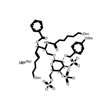 CCCCCCCCCCCCC/C=C/[C@@H](OC(=O)c1ccccc1)[C@H](CO[C@H]1O[C@H](COS(=O)(=O)[O-])[C@H](OS(=O)(=O)[O-])[C@H](OS(=O)(=O)[O-])[C@H]1OCc1ccc(OC)cc1)NC(=O)CCCCCCCCCCCCCCC.[Na+].[Na+].[Na+]